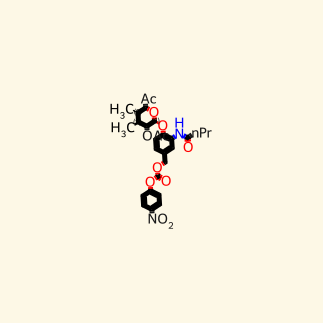 CCCC(=O)Nc1cc(COC(=O)Oc2ccc([N+](=O)[O-])cc2)ccc1O[C@@H]1OC(C(C)=O)[C@@H](C)[C@H](C)C1OC(C)=O